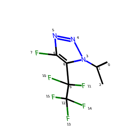 CC(C)n1nnc(F)c1C(F)(F)C(F)(F)F